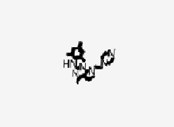 Cc1cc(C)c(Nc2nc(C)c3c(n2)N(CCN2CCN(C)CC2)CC3)c(C)c1